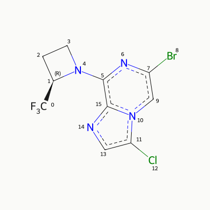 FC(F)(F)[C@H]1CCN1c1nc(Br)cn2c(Cl)cnc12